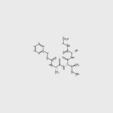 CC(C)[C@H](NC(=O)[C@@H](NC(=O)[C@H](C)NC(=O)OCc1ccccc1)[C@@H](C)OC(C)(C)C)C(=O)NCC(=O)O